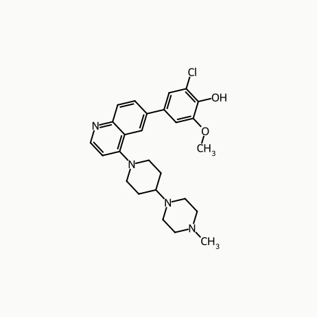 COc1cc(-c2ccc3nccc(N4CCC(N5CCN(C)CC5)CC4)c3c2)cc(Cl)c1O